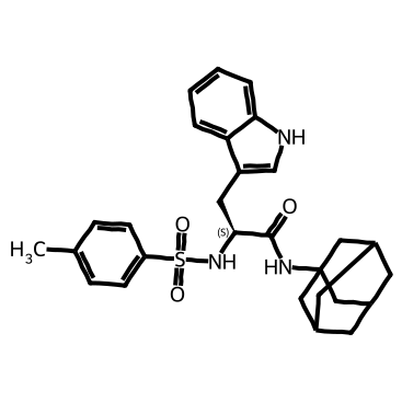 Cc1ccc(S(=O)(=O)N[C@@H](Cc2c[nH]c3ccccc23)C(=O)NC23CC4CC(CC(C4)C2)C3)cc1